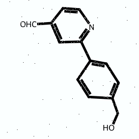 O=Cc1ccnc(-c2ccc(CO)cc2)c1